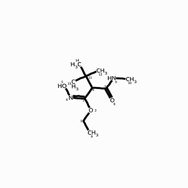 CCOC(=NO)C(C(=O)NC)C(C)(C)C